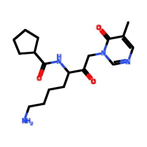 Cc1cncn(CC(=O)C(CCCCN)NC(=O)C2CCCC2)c1=O